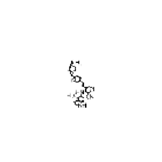 Cc1c(Nc2c(C#N)cncc2C=Cc2ccc(CN3CCN(C)CC3)nc2)ccc2[nH]ccc12